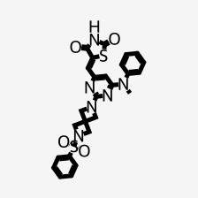 CN(c1ccccc1)c1cc(/C=C2\SC(=O)NC2=O)nc(N2CC3(C2)CN(S(=O)(=O)c2ccccc2)C3)n1